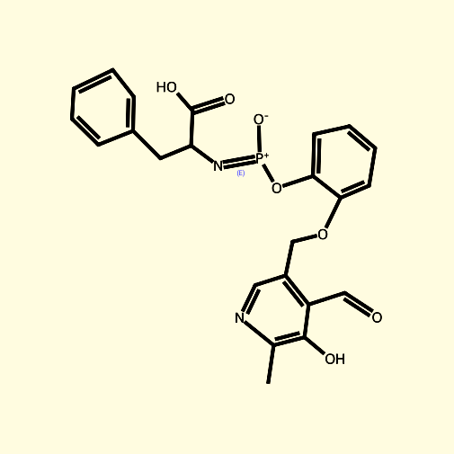 Cc1ncc(COc2ccccc2O/[P+]([O-])=N/C(Cc2ccccc2)C(=O)O)c(C=O)c1O